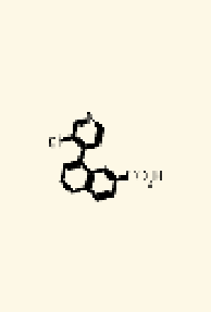 O=C(O)c1ccc2c(c1)C(c1ccncc1Cl)=CCC2